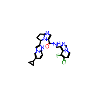 O=C(NCc1ncn2ccc(Cl)c(F)c12)c1cnc2n1C(c1cn3cc(C4CC4)ccc3n1)CC2